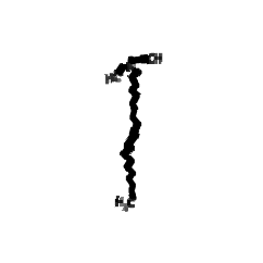 C#CCN(CC#C)CCCCCCCCCC#CC#CCCCCCCCCC